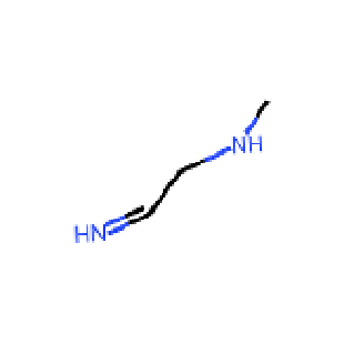 CNCC=N